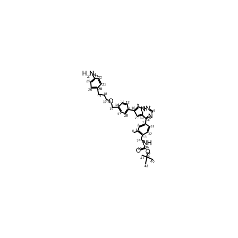 Cc1cc(-c2ncnn3cc(-c4ccc(COCCCc5ccc(N)cc5)cc4)cc23)ccc1CNC(=O)OC(C)(C)C